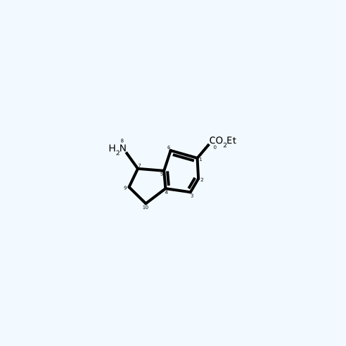 CCOC(=O)c1ccc2c(c1)C(N)CC2